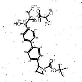 CC(C)(C)OC(=O)N1CCC1c1ccc(-c2ccc([C@@H](O)[C@@H](CF)NC(=O)C(Cl)Cl)cc2)cc1